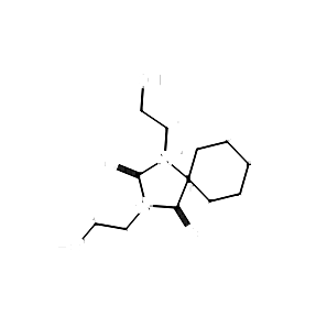 O=C1N(CCO)C(=O)C2(CCCCC2)N1CCO